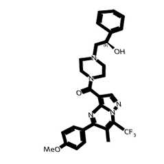 COc1ccc(-c2nc3c(C(=O)N4CCN(C[C@H](O)c5ccccc5)CC4)cnn3c(C(F)(F)F)c2C)cc1